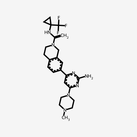 C=C(NC1(C(F)(F)F)CC1)N1CCc2ccc(-c3cc(N4CCN(C)CC4)nc(N)n3)cc2C1